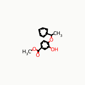 COC(=O)c1ccc(OC(C)c2ccccc2)c(O)c1